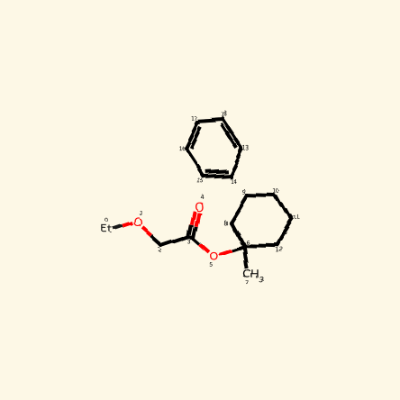 CCOCC(=O)OC1(C)CCCCC1.c1ccccc1